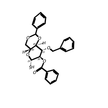 O=C(O[C@@H]1[C@@H](OCc2ccccc2)[C@@H]2OC(c3ccccc3)OC[C@H]2O[C@H]1S)c1ccccc1